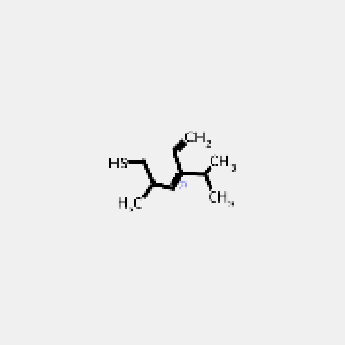 C=C/C(=C\C(C)CS)C(C)C